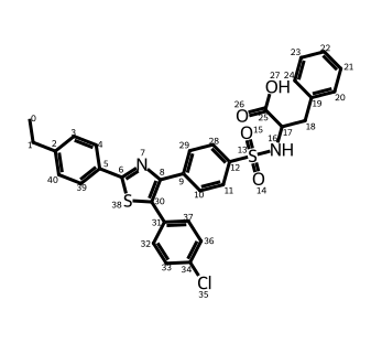 CCc1ccc(-c2nc(-c3ccc(S(=O)(=O)NC(Cc4ccccc4)C(=O)O)cc3)c(-c3ccc(Cl)cc3)s2)cc1